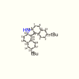 CC(C)(C)c1ccc2c(ccc3[nH]c4ccc5cc(C(C)(C)C)ccc5c4c32)c1